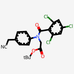 CC(C)(C)OC(=O)CN(C(=O)c1c(Cl)cc(Cl)cc1Cl)c1ccc(CC#N)cc1